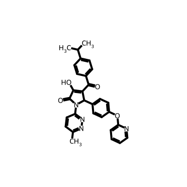 Cc1ccc(N2C(=O)C(O)=C(C(=O)c3ccc(C(C)C)cc3)C2c2ccc(Oc3ccccn3)cc2)nn1